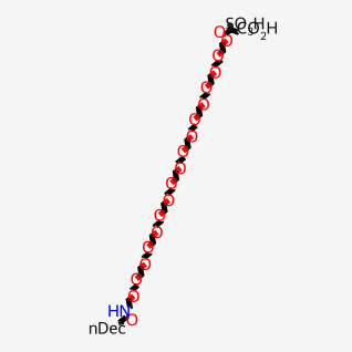 CCCCCCCCCCCC(=O)NCCOCCOCCOCCOCCOCCOCCOCCOCCOCCOCCOCCOCCOCCOCCOCCOCCOC(=O)C(CC(=O)O)S(=O)(=O)O